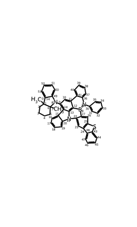 CC12CCCCC1(C)N(c1cc3c4c5c1c1ccccc1n5-c1cc5c(cc1B4N(c1ccccc1)c1ccccc1-3)sc1ccccc15)c1ccccc12